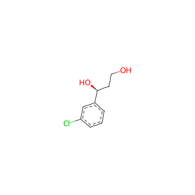 OCC[C@H](O)c1cccc(Cl)c1